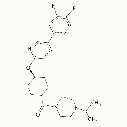 CC(C)N1CCN(C(=O)[C@H]2CC[C@H](Oc3ccc(-c4ccc(F)c(F)c4)cn3)CC2)CC1